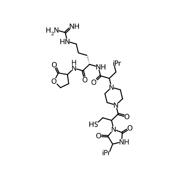 CC(C)CC(C(=O)N[C@@H](CCCNC(=N)N)C(=O)NC1CCOC1=O)N1CCN(C(=O)C(CS)N2C(=O)NC(C(C)C)C2=O)CC1